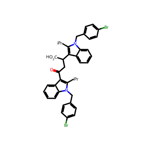 CC(C)c1c(C(=O)CC(C(=O)O)c2c(C(C)C)n(Cc3ccc(Br)cc3)c3ccccc23)c2ccccc2n1Cc1ccc(Br)cc1